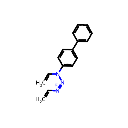 C=C/N=N\N(C=C)c1ccc(-c2ccccc2)cc1